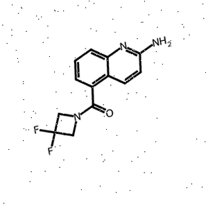 Nc1ccc2c(C(=O)N3CC(F)(F)C3)cccc2n1